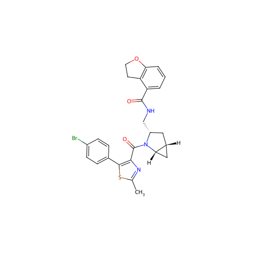 Cc1nc(C(=O)N2[C@H](CNC(=O)c3cccc4c3CCO4)C[C@@H]3C[C@@H]32)c(-c2ccc(Br)cc2)s1